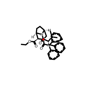 CCOC(=O)[C@H]1[C@H]2CC[C@@H](CN1C(=O)N(c1ccccc1)c1ccccc1)N2C(=O)[C@@H](Cc1ccccc1)N(C)C